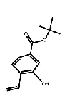 C=Cc1ccc(C(=O)OC(C)(C)C)cc1O